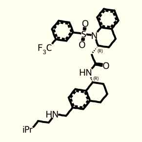 CC(C)CCNCc1ccc2c(c1)CCC[C@H]2NC(=O)C[C@H]1CCc2ccccc2N1S(=O)(=O)c1cccc(C(F)(F)F)c1